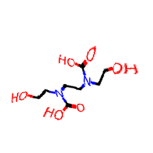 O=C(O)N(CCO)CCN(CCO)C(=O)O